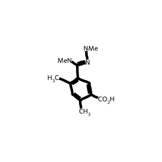 CN/N=C(\NC)c1cc(C(=O)O)c(C)cc1C